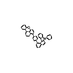 c1ccc(-n2c3ccccc3c3c4c(-c5ccc(-c6ccc7c8c(cccc68)-c6ccccc6O7)cc5)cccc4ccc32)cc1